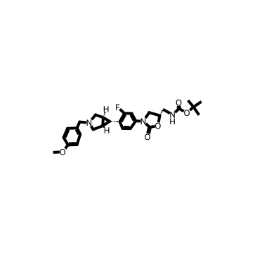 COc1ccc(CN2C[C@@H]3[C@H](C2)[C@H]3c2ccc(N3C[C@H](CNC(=O)OC(C)(C)C)OC3=O)cc2F)cc1